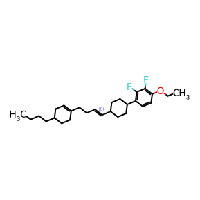 CCCCC1CC=C(CC/C=C/C2CCC(c3ccc(OCC)c(F)c3F)CC2)CC1